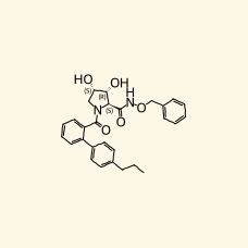 CCCc1ccc(-c2ccccc2C(=O)N2C[C@H](O)[C@H](O)[C@H]2C(=O)NOCc2ccccc2)cc1